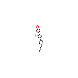 CCCCCC1CCC(c2ccc(-c3ccc(OC)cc3)c(F)c2)CC1